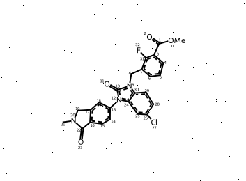 COC(=O)c1cccc(Cn2c(=O)n(-c3ccc4c(c3)CN(C)C4=O)c3cc(Cl)ccc32)c1F